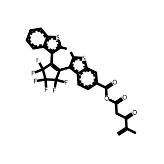 C=C(C)C(=O)CC(=O)OC(=O)c1ccc2c(C3=C(c4c(C)sc5ccccc45)C(F)(F)C(F)(F)C3(F)F)c(C)sc2c1